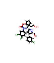 O=C[C@@H]1N[C@H](CC2(CCO)CCCC2)[C@@H](c2cc(F)c(Cl)cc2NC(=O)O)[C@H]1c1cccc(Cl)c1